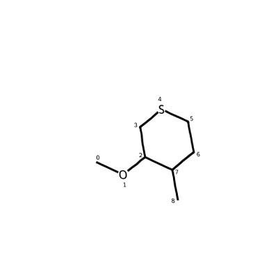 COC1CSCCC1C